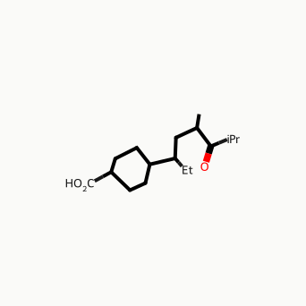 CCC(CC(C)C(=O)C(C)C)C1CCC(C(=O)O)CC1